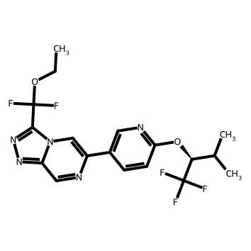 CCOC(F)(F)c1nnc2cnc(-c3ccc(O[C@@H](C(C)C)C(F)(F)F)nc3)cn12